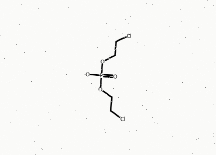 [O]P(=O)(OCCCl)OCCCl